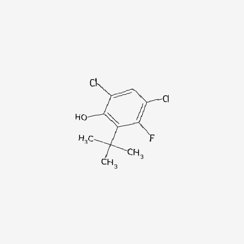 CC(C)(C)c1c(O)c(Cl)cc(Cl)c1F